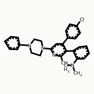 Cc1nc(N2CCN(c3ccccc3)CC2)cc(-c2ccc(Cl)cc2)c1-c1ccccc1N(C)C